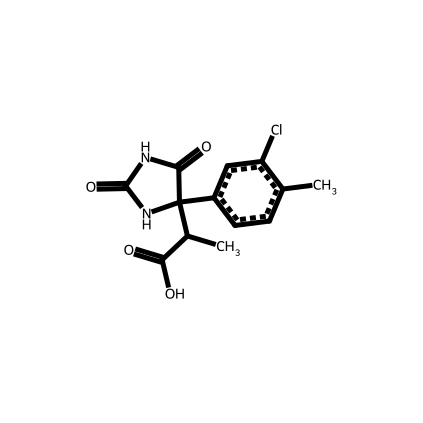 Cc1ccc(C2(C(C)C(=O)O)NC(=O)NC2=O)cc1Cl